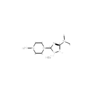 Br.CCCN1CCN(C2N=C(N(C)C)SS2)CC1